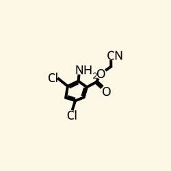 N#CCOC(=O)c1cc(Cl)cc(Cl)c1N